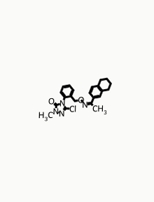 C/C(=N/OCc1ccccc1-n1c(Cl)nn(C)c1=O)c1ccc2c(c1)CCCC2